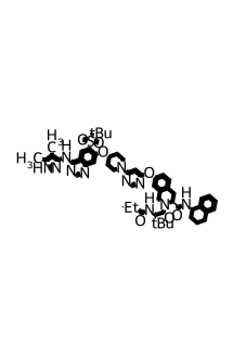 C[CH]C(=O)N[C@H](C(=O)N1Cc2cc(Oc3cc(N4CCC(Oc5cc6ncnc(Nc7n[nH]c(C)c7C)c6cc5S(=O)(=O)C(C)(C)C)CC4)ncn3)ccc2C[C@H]1C(=O)N[C@@H]1CCCc2ccccc21)C(C)(C)C